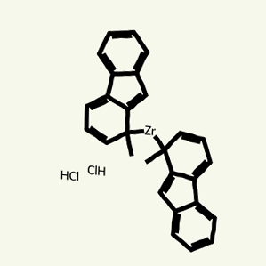 C[C]1([Zr][C]2(C)C=CC=C3C2=Cc2ccccc23)C=CC=C2C1=Cc1ccccc12.Cl.Cl